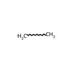 [CH2]C[CH]CCCCCCCCCCC